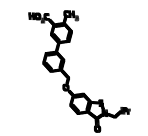 Cc1ccc(-c2cccc(COc3ccc4c(=O)n(CC(C)C)sc4c3)c2)cc1C(=O)O